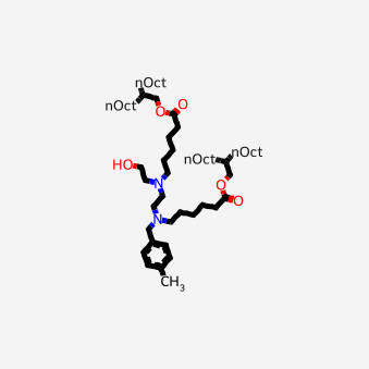 CCCCCCCCC(CCCCCCCC)COC(=O)CCCCCN(CCO)CCN(CCCCCC(=O)OCC(CCCCCCCC)CCCCCCCC)Cc1ccc(C)cc1